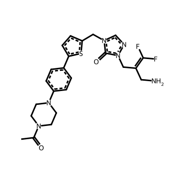 CC(=O)N1CCN(c2ccc(-c3ccc(Cn4cnn(CC(CN)=C(F)F)c4=O)s3)cc2)CC1